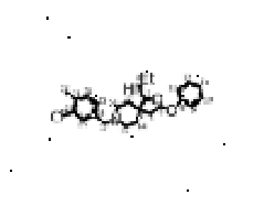 CCNC(=O)C1(CCOc2ccccc2)CCN(Cc2ccc(C)c(Cl)c2)CC1